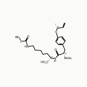 C=C[C@@H](C)Oc1ccc(C[C@H](NC(C)=O)C(=O)N[C@@H](CCCCCNC(=O)OC(C)(C)C)C(=O)O)cc1